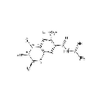 CC[C@@H]1Oc2cc(C(=O)NC(=N)N)ccc2N(CC)C1=O.CS(=O)(=O)O